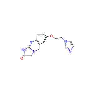 O=C1CN2Cc3cc(OCCn4ccnc4)ccc3N=C2N1